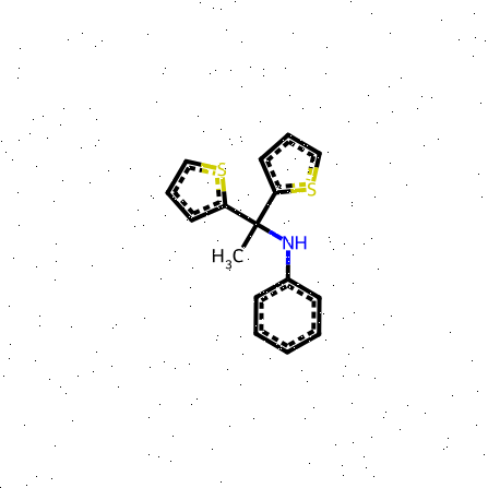 CC(Nc1ccccc1)(c1cccs1)c1cccs1